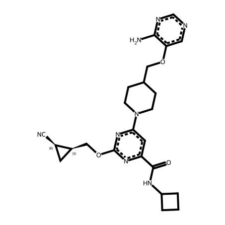 N#C[C@@H]1C[C@@H]1COc1nc(C(=O)NC2CCC2)cc(N2CCC(COc3cncnc3N)CC2)n1